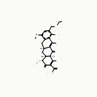 CN(C)c1cc(CNCC(C)(C)C)c(O)c2c1C[C@H]1C[C@H]3[C@H](N(C)C)C(=O)C(C(N)=O)=C(O)[C@@]3(O)C(=O)C1=C2O.Cl